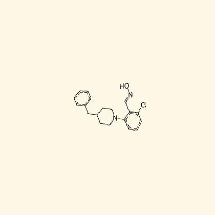 ON=Cc1c(Cl)cccc1N1CCC(Cc2ccccc2)CC1